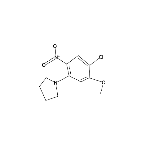 COc1cc(N2CCCC2)c([N+](=O)[O-])cc1Cl